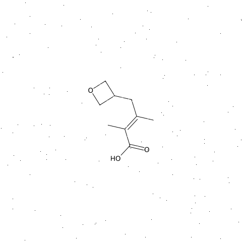 CC(CC1COC1)=C(C)C(=O)O